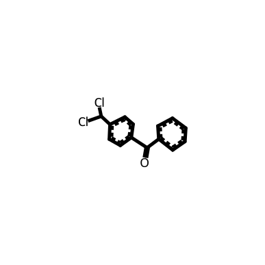 O=C(c1ccccc1)c1ccc(C(Cl)Cl)cc1